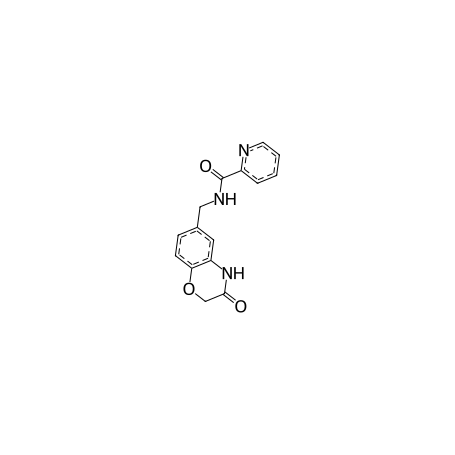 O=C1COc2ccc(CNC(=O)c3ccccn3)cc2N1